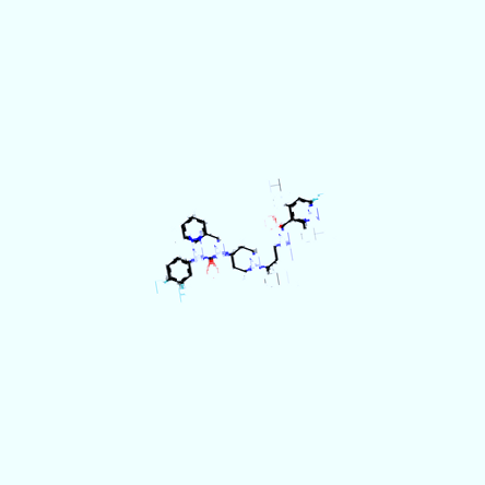 Cc1cc(F)nc(C)c1C(=O)NCCC(C)N1CCC(N(Cc2ccccc2)C(=O)Nc2ccc(F)c(F)c2)CC1